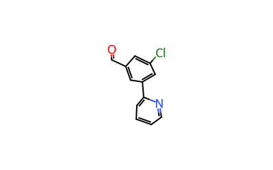 O=Cc1cc(Cl)cc(-c2ccccn2)c1